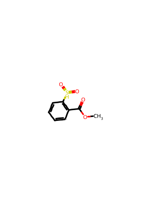 COC(=O)c1[c]cccc1[SH](=O)=O